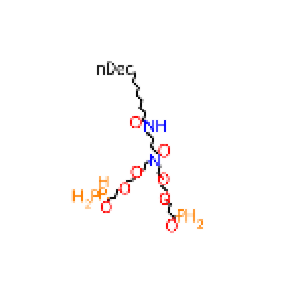 CCCCCCCCCCCCCCCCCC(=O)NCCCC(=O)N(CCOCCOCCC(=O)P)CCOCCOCCC(=O)PP